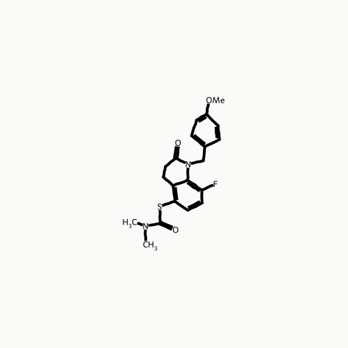 COc1ccc(CN2C(=O)CCc3c(SC(=O)N(C)C)ccc(F)c32)cc1